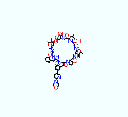 CCC(C)C1NC(=O)C2CCCN2C(=O)C(Cc2cccc(-c3ccc(N4CCOCC4)nc3)c2)N(C)C(=O)C(Cc2ccccc2)NC(=O)[C@H](C)N(C)C(=O)C([C@H](C)CC)OC(=O)C(C(C)(C)O)N(C)C(=O)C(CC(C)C)NC(O)[C@H](C)N(C)C1=O